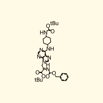 CC(C)(C)OC(=O)NC1CCC(Nc2ncnc3c2ncn3C[C@@H](NC(=O)OCc2ccccc2)C(=O)OC(C)(C)C)CC1